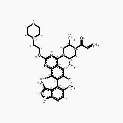 C=CC(=O)N1C[C@H](C)N(c2nc(OCCN3CCOCC3)nc3c(F)c(-c4c(C)ccc5onc(N)c45)c(Cl)cc23)C[C@H]1C